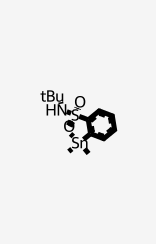 CC(C)(C)NS(=O)(=O)c1cccc[c]1[Sn]([CH3])([CH3])[CH3]